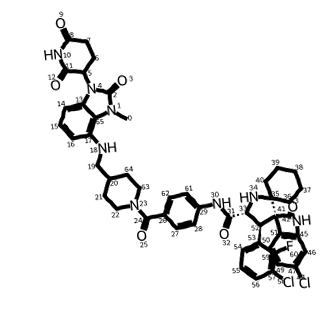 Cn1c(=O)n(C2CCC(=O)NC2=O)c2cccc(NCC3CCN(C(=O)c4ccc(NC(=O)[C@@H]5NC6(CCCCC6)[C@@]6(C(=O)Nc7cc(Cl)ccc76)[C@H]5c5cccc(Cl)c5F)cc4)CC3)c21